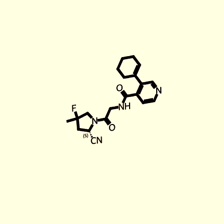 CC1(F)C[C@@H](C#N)N(C(=O)CNC(=O)c2ccncc2C2=CCCCC2)C1